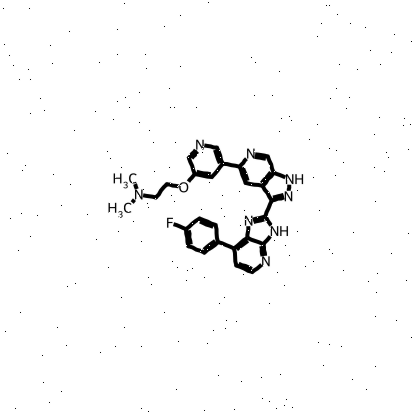 CN(C)CCOc1cncc(-c2cc3c(-c4nc5c(-c6ccc(F)cc6)ccnc5[nH]4)n[nH]c3cn2)c1